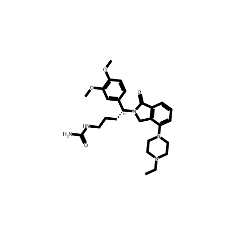 CCN1CCN(c2cccc3c2CN([C@H](CCCNC(N)=O)c2ccc(OC)c(OC)c2)C3=O)CC1